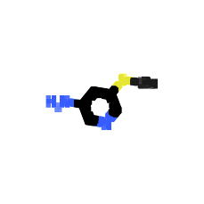 CC(C)(C)Sc1cncc(N)c1